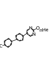 CCCCCCOc1ncc(-c2ccc(-c3ccc(C#N)cc3)cc2)cn1